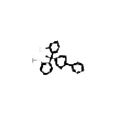 CC(c1ccc(-c2ccccc2)cc1)(c1ccccc1S)c1ccccc1S